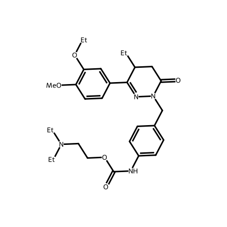 CCOc1cc(C2=NN(Cc3ccc(NC(=O)OCCN(CC)CC)cc3)C(=O)CC2CC)ccc1OC